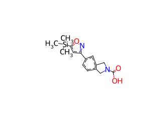 C[Si](C)(C)c1cc(-c2ccc3c(c2)CN(C(=O)O)C3)no1